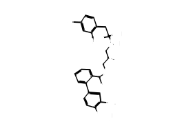 CC(OC[C@H](O)CNC(C)(C)Cc1ccc(Cl)cc1F)c1ccccc1-c1ccc(C(=O)O)c(C(C)(C)C)c1